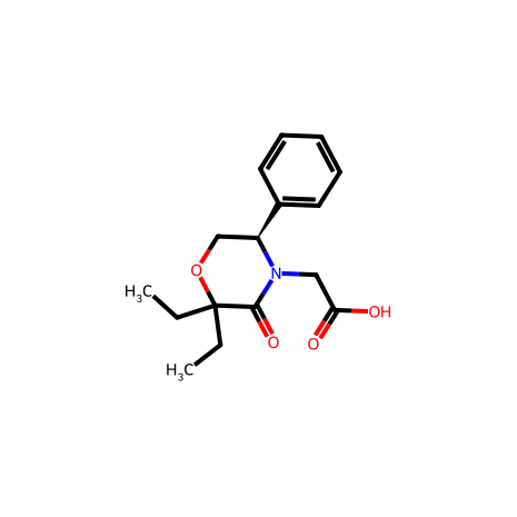 CCC1(CC)OC[C@@H](c2ccccc2)N(CC(=O)O)C1=O